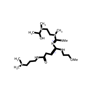 CN/C(=N\C(=C/CC(=O)NCCCN(C)C)NCCOC)N(C)CCN(C)C(C)O